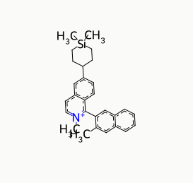 Cc1cc2ccccc2cc1-c1c2ccc(C3CC[Si](C)(C)CC3)cc2cc[n+]1C